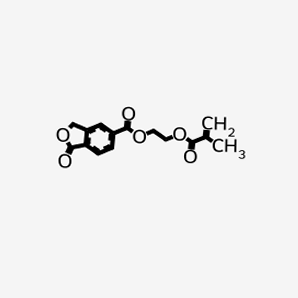 C=C(C)C(=O)OCCOC(=O)c1ccc2c(c1)COC2=O